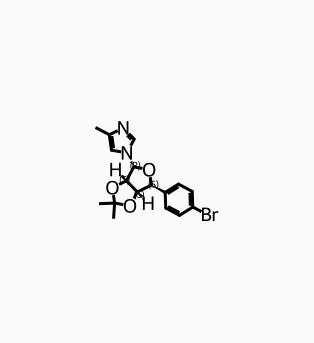 Cc1cn([C@@H]2O[C@@H](c3ccc(Br)cc3)[C@@H]3OC(C)(C)O[C@@H]32)cn1